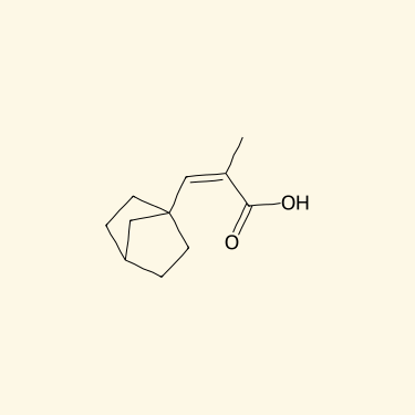 CC(=CC12CCC(CC1)C2)C(=O)O